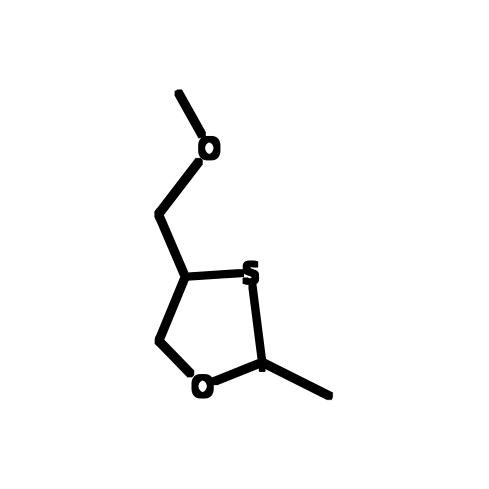 COCC1CO[C](C)S1